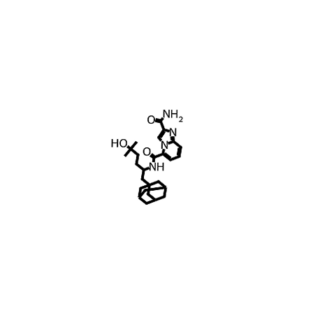 CC(C)(O)CCC(CC12CC3CC(CC(C3)C1)C2)NC(=O)c1cccc2nc(C(N)=O)cn12